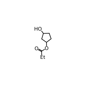 CCC(=O)OC1CCC(O)C1